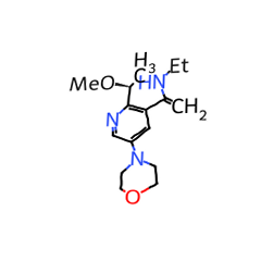 C=C(NCC)c1cc(N2CCOCC2)cnc1[C@H](C)OC